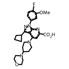 COc1cc(-n2nc(C3CCC3)c3c(N4CCC(N5CCOCC5)CC4)cc(C(=O)O)nc32)ccc1F